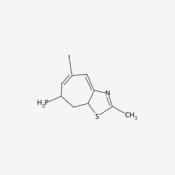 CC1=NC2=CC(I)=CC(P)CC2S1